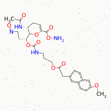 COc1ccc2cc(CC(=O)OCCCNC(=O)O[C@H](CCN=O)C3OC(C(=O)ON)=CC[C@H]3NC(C)=O)ccc2c1